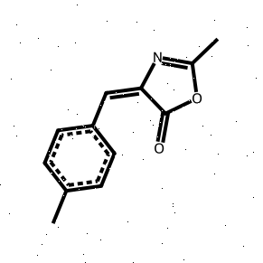 CC1=NC(=Cc2ccc(C)cc2)C(=O)O1